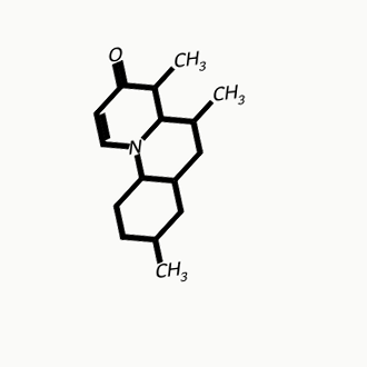 CC1CCC2C(C1)CC(C)C1C(C)C(=O)C=CN21